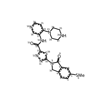 CSc1ccc2c(c1)C(=O)N(c1nnc(C(=O)Nc3cnccc3N3CCNCC3)s1)C2